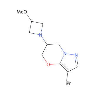 COC1CN(C2COc3c(C(C)C)cnn3C2)C1